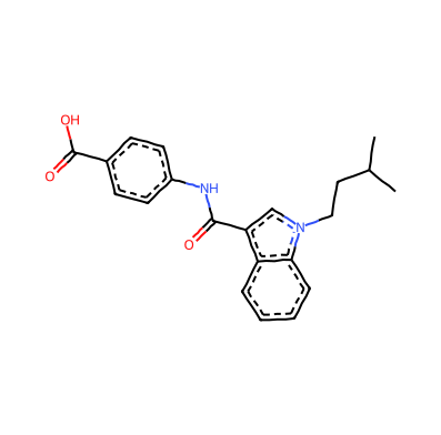 CC(C)CCn1cc(C(=O)Nc2ccc(C(=O)O)cc2)c2ccccc21